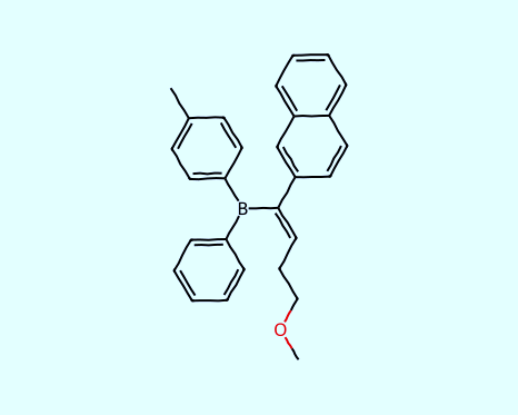 COCC/C=C(\B(c1ccccc1)c1ccc(C)cc1)c1ccc2ccccc2c1